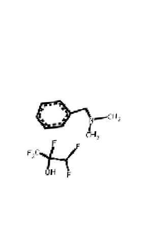 CN(C)Cc1ccccc1.OC(F)(C(F)F)C(F)(F)F